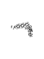 O=C(Nc1nnc(-c2ccco2)o1)c1cccc(-c2ccc(-c3ccc(C(F)(F)F)cc3)cc2)c1